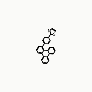 c1ccc2c(c1)c1ccccc1c1c(-c3ccc(-c4nccs4)cc3)cccc21